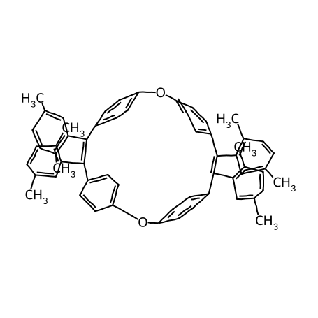 Cc1ccc(C)c(/C2=C(\c3cc(C)ccc3C)c3ccc(cc3)Oc3ccc(cc3)/C(c3cc(C)ccc3C)=C(/c3cc(C)ccc3C)c3ccc(cc3)Oc3ccc2cc3)c1